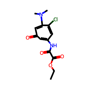 CCOC(=O)C(=O)Nc1cc(Cl)c(N(C)C)cc(=O)c1